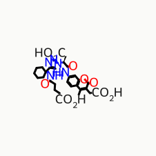 Cc1c(CC(=O)O)c(=O)oc2cc(NC(=O)[C@H](CC(=O)O)n3cc(C4(NC(=O)CCCC(=O)O)CCCCC4)nn3)ccc12